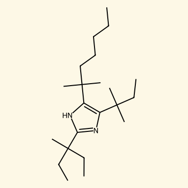 CCCCCC(C)(C)c1[nH]c(C(C)(CC)CC)nc1C(C)(C)CC